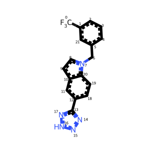 FC(F)(F)c1cccc(Cn2ccc3cc(-c4nn[nH]n4)ccc32)c1